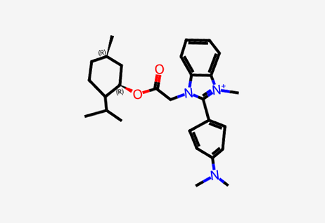 CC(C)C1CC[C@@H](C)C[C@H]1OC(=O)Cn1c(-c2ccc(N(C)C)cc2)[n+](C)c2ccccc21